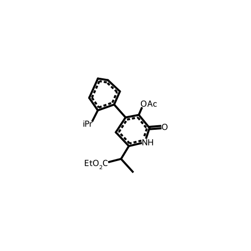 CCOC(=O)C(C)c1cc(-c2ccccc2C(C)C)c(OC(C)=O)c(=O)[nH]1